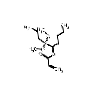 C=CC(=O)OC(CCCC)[Si](CCC)(OC)OC